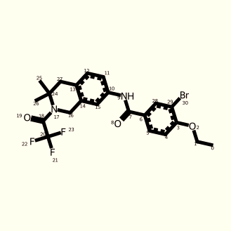 CCOc1ccc(C(=O)Nc2ccc3c(c2)CN(C(=O)C(F)(F)F)C(C)(C)C3)cc1Br